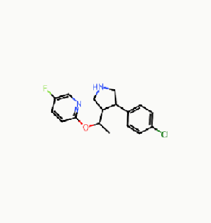 CC(Oc1ccc(F)cn1)C1CNCC1c1ccc(Cl)cc1